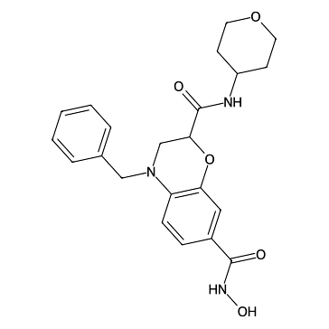 O=C(NO)c1ccc2c(c1)OC(C(=O)NC1CCOCC1)CN2Cc1ccccc1